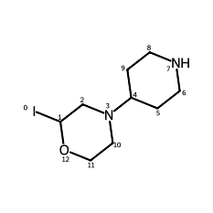 IC1CN(C2CCNCC2)CCO1